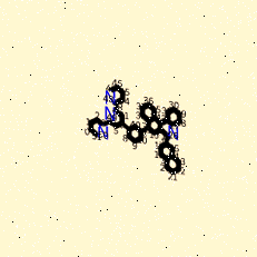 c1ccc(-c2cc(-c3cccc(-c4cc5c(-c6ccc7ccccc7c6)nc6ccccc6c5c5ccccc45)c3)cc(-c3ccccn3)n2)nc1